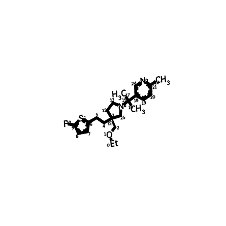 CCOC[C@@]1(CCc2ccc(F)s2)CCN(C(C)(C)c2ccc(C)nc2)C1